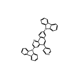 c1ccc2c(c1)c1ccccc1n2-c1ccc2c(c1)cc(-c1ccncc1)c1cc(-n3c4ccccc4c4ccccc43)cnc12